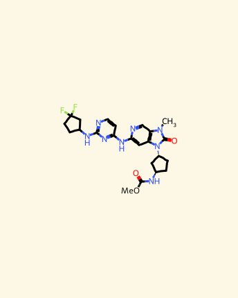 COC(=O)N[C@@H]1CC[C@@H](n2c(=O)n(C)c3cnc(Nc4ccnc(NC5CCC(F)(F)C5)n4)cc32)C1